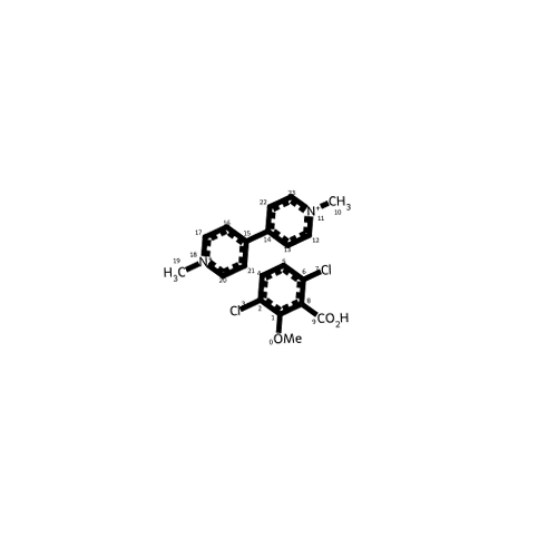 COc1c(Cl)ccc(Cl)c1C(=O)O.C[n+]1ccc(-c2cc[n+](C)cc2)cc1